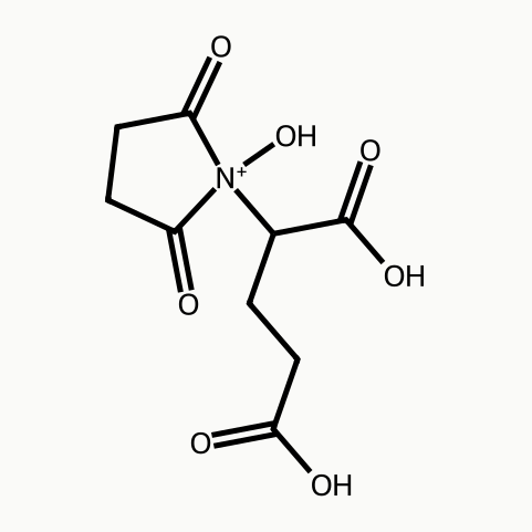 O=C(O)CCC(C(=O)O)[N+]1(O)C(=O)CCC1=O